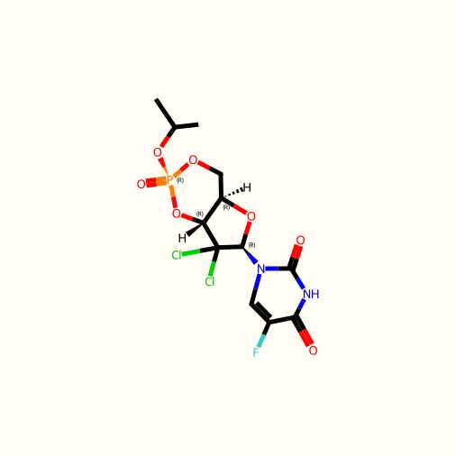 CC(C)O[P@@]1(=O)OC[C@H]2O[C@@H](n3cc(F)c(=O)[nH]c3=O)C(Cl)(Cl)[C@@H]2O1